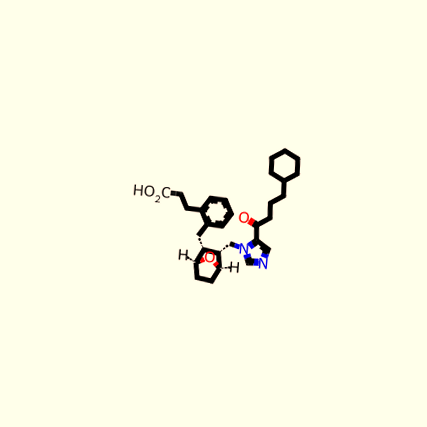 O=C(O)CCc1ccccc1C[C@@H]1[C@H](Cn2cncc2C(=O)CCCC2CCCCC2)[C@H]2CC[C@@H]1O2